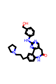 O=C1Cc2cnc(Nc3cccc(CO)c3)nc2-c2cc(CCCN3CCCC3)ccc2N1